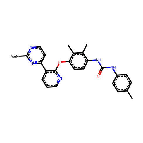 CNc1nccc(-c2cccnc2Oc2ccc(NC(=O)Nc3ccc(C)cc3)c(C)c2C)n1